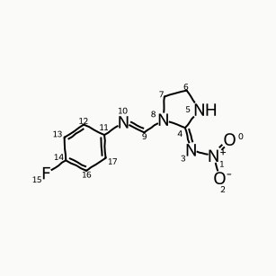 O=[N+]([O-])/N=C1\NCCN1/C=N/c1ccc(F)cc1